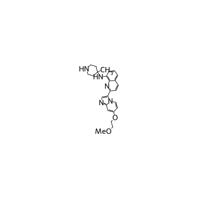 COCCOc1ccn2c(-c3ccc4cccc(NC5(C)CCNCC5)c4n3)cnc2c1